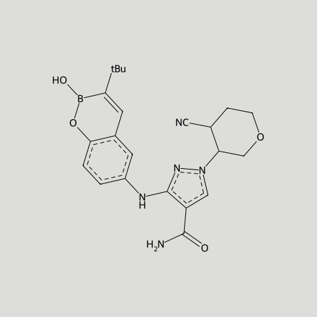 CC(C)(C)C1=Cc2cc(Nc3nn(C4COCCC4C#N)cc3C(N)=O)ccc2OB1O